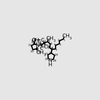 CCCCCCC(CCC(C)C(C)(C)C(C)(C)N1C(=O)CCC1=O)C1CCNCC1